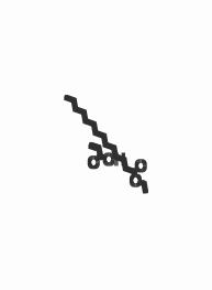 C=CC(=O)O.CCCCCCCCCCCCCC(=O)OCC